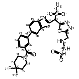 CS(=O)(=O)C(c1nnc(CNN[SH](=O)=O)o1)c1nc2ccc(-c3cccc(C(=O)N4CCC(F)(F)CC4)c3)cc2s1